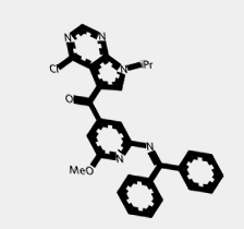 COc1cc(C(=O)c2cn(C(C)C)c3ncnc(Cl)c23)cc(N=C(c2ccccc2)c2ccccc2)n1